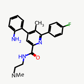 CNCCNC(=O)c1cc(-c2ccccc2N)c(C)c(-c2ccc(F)cc2)n1